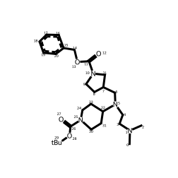 CN(C)CCN(CC1CCN(C(=O)OCc2ccccc2)C1)C1CCN(C(=O)OC(C)(C)C)CC1